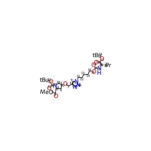 COC(=O)[C@@H]1C[C@@H](OCc2cn(CCCCCOC(=O)N[C@H](C(=O)OC(C)(C)C)C(C)C)nn2)CN1C(=O)OC(C)(C)C